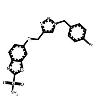 CCc1ccc(Cn2cc(COc3ccc4nc(S(N)(=O)=O)sc4c3)nn2)cc1